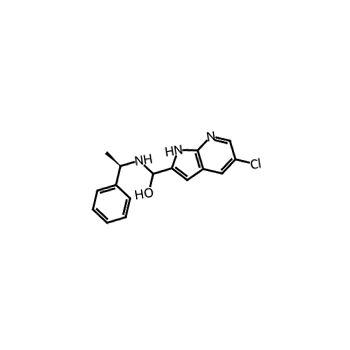 C[C@@H](NC(O)c1cc2cc(Cl)cnc2[nH]1)c1ccccc1